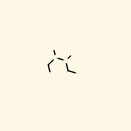 CCN(C)N(C)CC.[V]